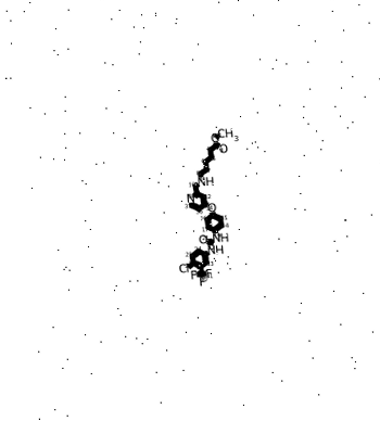 COC(=O)CCCCCNCc1cc(Oc2ccc(NC(=O)Nc3ccc(Cl)c(C(F)(F)F)c3)cc2)ccn1